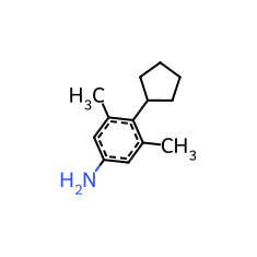 Cc1cc(N)cc(C)c1C1CCCC1